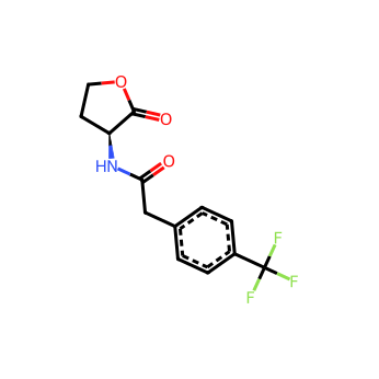 O=C(Cc1ccc(C(F)(F)F)cc1)N[C@H]1CCOC1=O